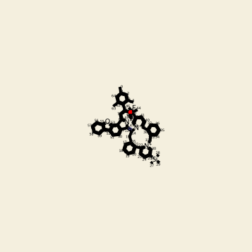 Cc1cc(C)c(-c2cc3[n+](cc2F)/C(=C2/Cc4ccccc4-c4ccc([Si](C)(C)C)c[n+]4Cc4ccccc4-c4ccc([Si](C)(C)C)c[n+]42)c2ccc4c(oc5ccccc54)c2-3)c(C)c1